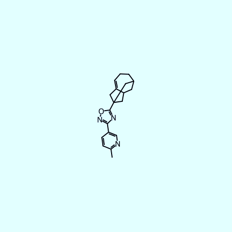 Cc1ccc(-c2noc(C34CC5=CCCC(CC5C3)C4)n2)cn1